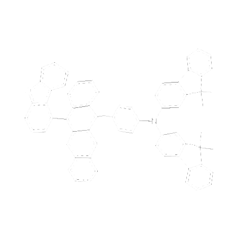 CC1(C)c2ccccc2-c2ccc(N(c3ccc(-c4c5ccccc5c(-c5cccc6oc7ccccc7c56)c5cc6ccccc6cc45)cc3)c3ccc4c(c3)C(C)(C)c3ccccc3-4)cc21